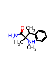 CNC(C)(C(N)=O)C(C)c1ccccc1